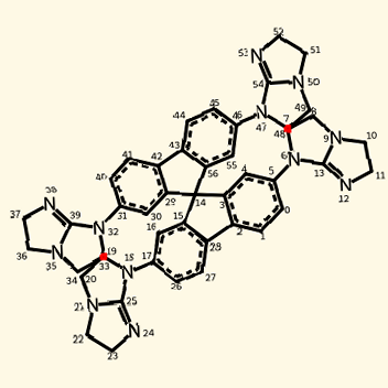 c1cc2c(cc1N1CCN3CCN=C31)C1(c3cc(N4CCN5CCN=C54)ccc3-2)c2cc(N3CCN4CCN=C43)ccc2-c2ccc(N3CCN4CCN=C43)cc21